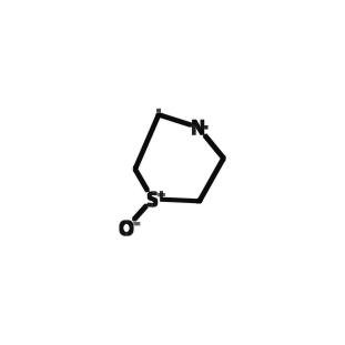 [O-][S+]1C[CH][N]CC1